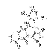 C[C@H](Nc1nc(N)nc(N)c1C#N)c1nc2cccc(C#N)c2c(=O)n1-c1cc(F)cc(C#N)c1